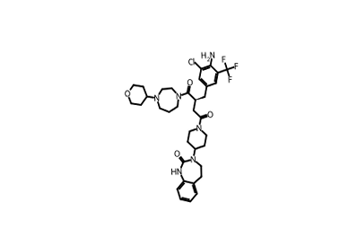 Nc1c(Cl)cc(C[C@@H](CC(=O)N2CCC(N3CCc4ccccc4NC3=O)CC2)C(=O)N2CCCN(C3CCOCC3)CC2)cc1C(F)(F)F